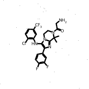 CC1(C)c2nc(-c3ccc(F)c(F)c3)c(Nc3cc(C(F)(F)F)ccc3Cl)n2CCN1C(=O)CN